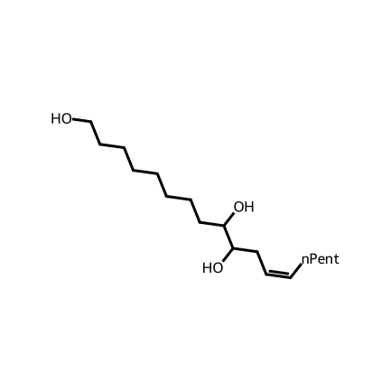 CCCCC/C=C\CC(O)C(O)CCCCCCCCO